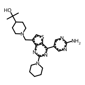 CC(C)(O)C1CCN(Cc2csc3c(-c4cnc(N)nc4)nc(N4CCCCC4)nc23)CC1